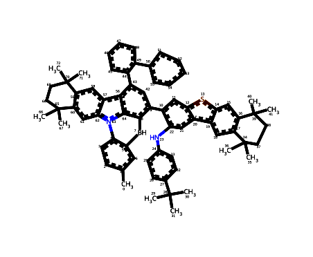 Cc1ccc2c(c1)Bc1c(-c3cc4sc5cc6c(cc5c4cc3Nc3ccc(C(C)(C)C)cc3)C(C)(C)CCC6(C)C)cc(-c3ccccc3-c3ccccc3)c3c4cc5c(cc4n-2c13)C(C)(C)CCC5(C)C